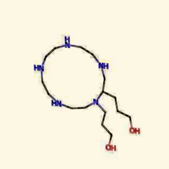 OCCCC1CNCCNCCNCCNCCN1CCCO